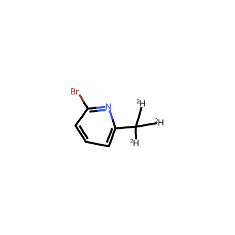 [2H]C([2H])([2H])c1cccc(Br)n1